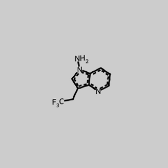 Nn1cc(CC(F)(F)F)c2ncccc21